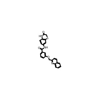 O=C1CSc2cc(NC(=O)c3cccc(OCc4ccc5ccccc5n4)c3)ccc2N1